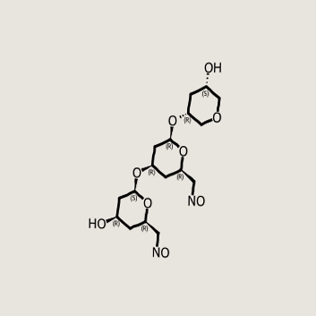 O=NC[C@H]1C[C@@H](O)C[C@@H](O[C@@H]2C[C@H](CN=O)O[C@H](O[C@H]3COC[C@@H](O)C3)C2)O1